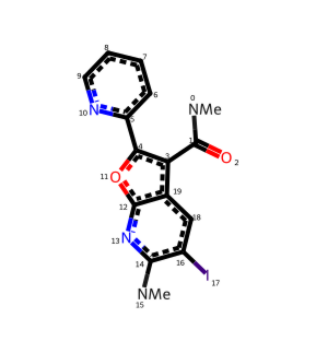 CNC(=O)c1c(-c2ccccn2)oc2nc(NC)c(I)cc12